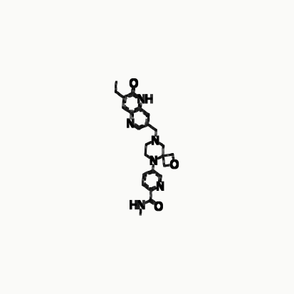 CCc1cc2ncc(CN3CCN(c4ccc(C(=O)NC)nc4)C4(COC4)C3)cc2[nH]c1=O